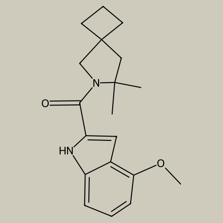 COc1cccc2[nH]c(C(=O)N3CC4(CCC4)CC3(C)C)cc12